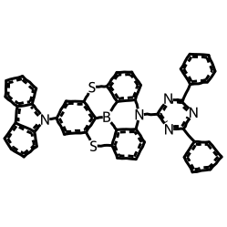 c1ccc(-c2nc(-c3ccccc3)nc(N3c4cccc5c4B4c6c(cc(-n7c8ccccc8c8ccccc87)cc6Sc6cccc3c64)S5)n2)cc1